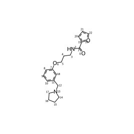 O=C(NCCCOc1cccc(CN2CCCC2)c1)c1ccco1